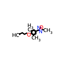 C#CCCCOc1c(C)cc(-c2noc(C)n2)cc1C